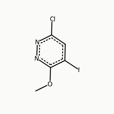 COc1nnc(Cl)cc1I